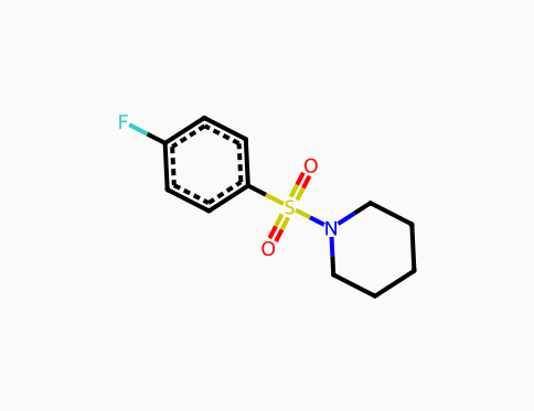 O=S(=O)(c1ccc(F)cc1)N1CCCCC1